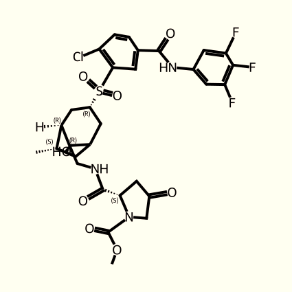 COC(=O)N1CC(=O)C[C@H]1C(=O)NC[C@@]1(O)C2C[C@@H](S(=O)(=O)c3cc(C(=O)Nc4cc(F)c(F)c(F)c4)ccc3Cl)C[C@@H]1[C@@H](C)C2